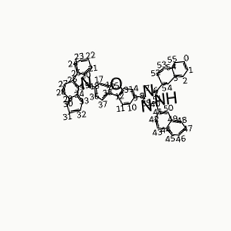 c1ccc2cc(C3=NC(c4ccc5c(c4)oc4cc(-n6c7ccccc7c7ccc8ccccc8c76)ccc45)=NC(c4ccc5ccccc5c4)N3)ccc2c1